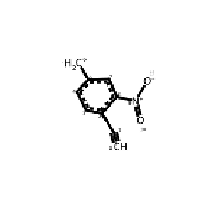 C#Cc1ccc([CH2])cc1[N+](=O)[O-]